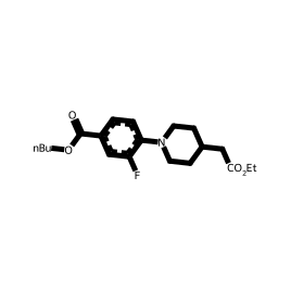 CCCCOC(=O)c1ccc(N2CCC(CC(=O)OCC)CC2)c(F)c1